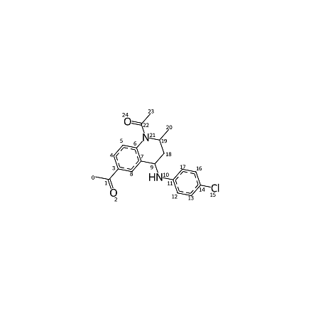 CC(=O)c1ccc2c(c1)C(Nc1ccc(Cl)cc1)CC(C)N2C(C)=O